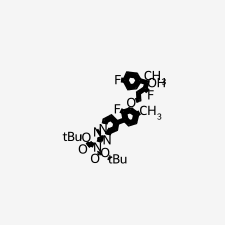 Cc1ccc(-c2ccn3nc(N(C(=O)OC(C)(C)C)C(=O)OC(C)(C)C)nc3c2)c(F)c1OCCC(F)C(C)(O)c1ccc(F)cc1